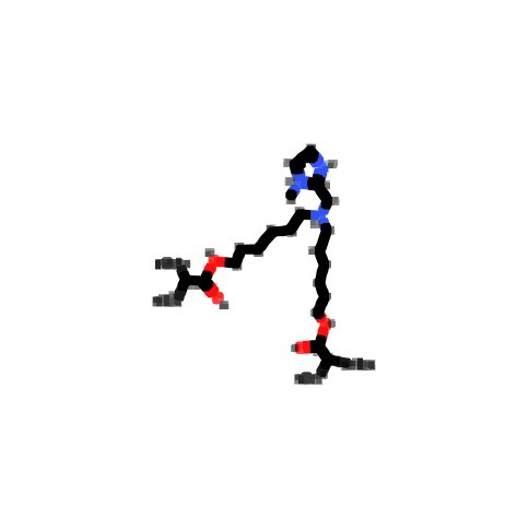 CCCCCCCCC(CCCCCC)C(=O)OCCCCCCN(CCCCCCOC(=O)C(CCCCCC)CCCCCCCC)Cc1nccn1C